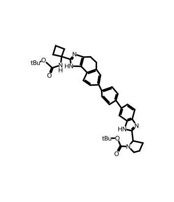 CC(C)(C)OC(=O)NC1(c2nc3c([nH]2)-c2ccc(-c4ccc(-c5ccc6nc(C7CCCN7C(=O)OC(C)(C)C)[nH]c6c5)cc4)cc2CC3)CCC1